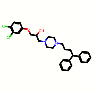 OC(COc1ccc(Cl)c(Cl)c1)CN1CCN(CCCC(c2ccccc2)c2ccccc2)CC1